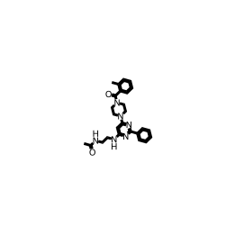 CC(=O)NCCNc1cc(N2CCN(C(=O)c3ccccc3C)CC2)nc(-c2ccccc2)n1